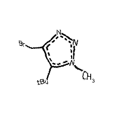 Cn1nnc(Br)c1C(C)(C)C